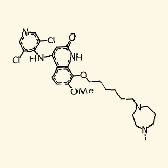 COc1ccc2c(Nc3c(Cl)cncc3Cl)cc(=O)[nH]c2c1OCCCCCCN1CCCN(C)CC1